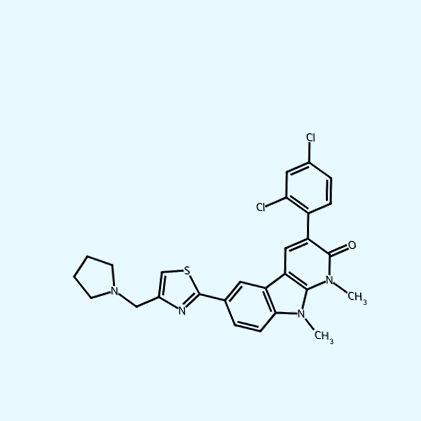 Cn1c(=O)c(-c2ccc(Cl)cc2Cl)cc2c3cc(-c4nc(CN5CCCC5)cs4)ccc3n(C)c21